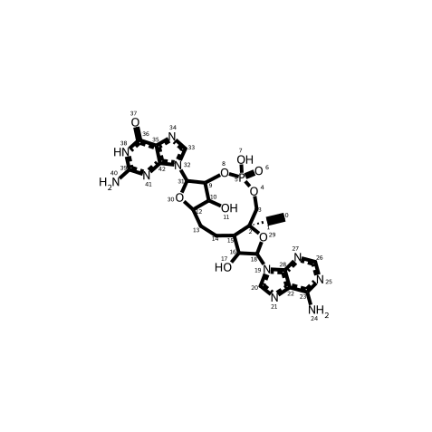 C#C[C@@]12COP(=O)(O)OC3C(O)C(CCC1C(O)C(n1cnc4c(N)ncnc41)O2)OC3n1cnc2c(=O)[nH]c(N)nc21